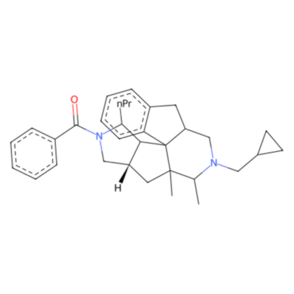 CCCC1C2[C@@H](CN1C(=O)c1ccccc1)CC1(C)C(C)N(CC3CC3)CC3Cc4ccccc4C321